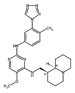 COc1cnc(Nc2ccc(C)c(-n3cnnn3)c2)nc1NC[C@@H]1CCCN2CCCC[C@H]12